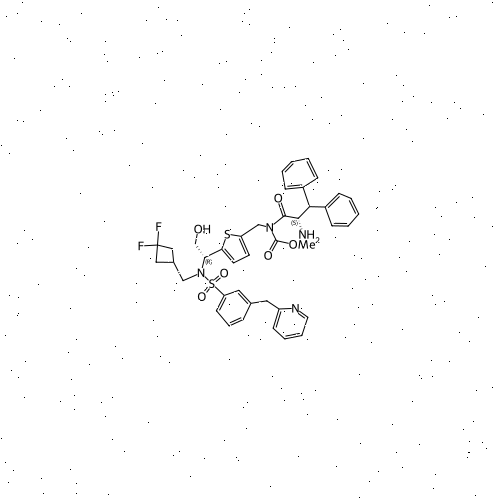 COC(=O)N(Cc1ccc([C@@H](CO)N(CC2CC(F)(F)C2)S(=O)(=O)c2cccc(Cc3ccccn3)c2)s1)C(=O)[C@@H](N)C(c1ccccc1)c1ccccc1